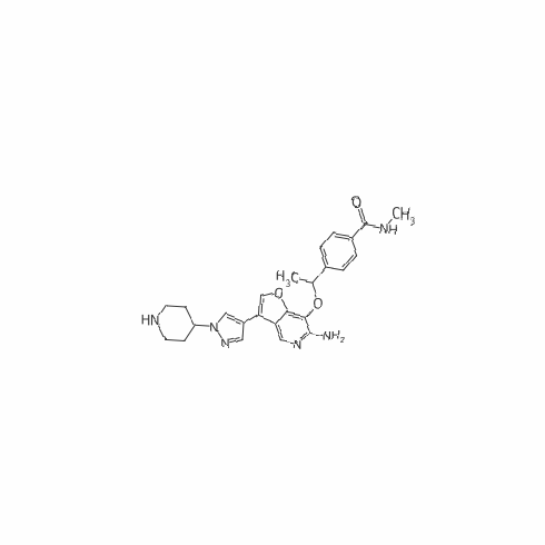 CNC(=O)c1ccc(C(C)Oc2c(N)ncc3c(-c4cnn(C5CCNCC5)c4)coc23)cc1